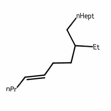 [CH2]CCC=CCCC(CC)CCCCCCC[CH2]